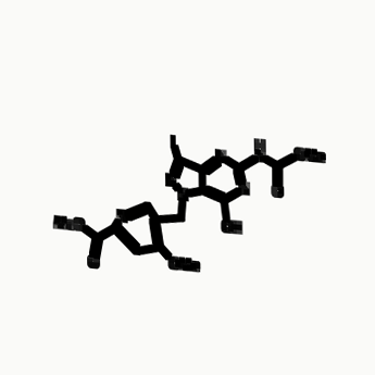 COC(=O)Nc1nc(O)c2c(n1)c(I)nn2Cc1cnc(C(=O)OC)cc1OC